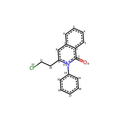 O=c1c2ccccc2cc(CCCl)n1-c1ccccc1